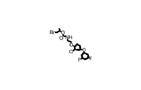 CC(CBr)OC(=O)NCCOc1ccc(Oc2cc(F)cc(F)c2)cc1Cl